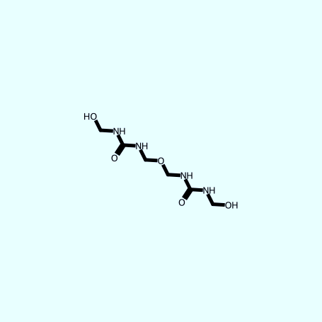 O=C(NCO)NCOCNC(=O)NCO